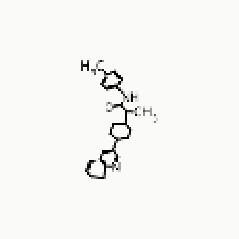 Cc1ccc(NC(=O)C(C)C2CCC(c3cnc4c(c3)C=CCC4)CC2)cc1